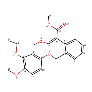 CCOc1cc(OCc2ccccc2C(=COC)C(=O)OC)ccc1OC